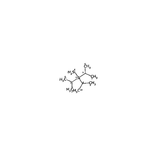 CC(C)[Si]([SiH2])(C(C)C)C(C)C